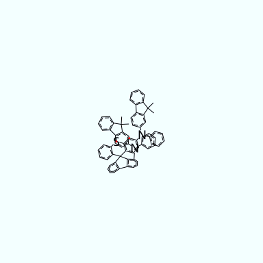 CC1(C)c2ccccc2-c2ccc(N(c3ccccc3)c3ccc4c(c3)Sc3ccccc3C43c4ccccc4-c4cccc(N(c5ccccc5)c5ccc6c(c5)C(C)(C)c5ccccc5-6)c43)cc21